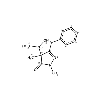 CN1N=C(Cc2ccccc2)C(C)(N(O)C(=O)O)C1=O